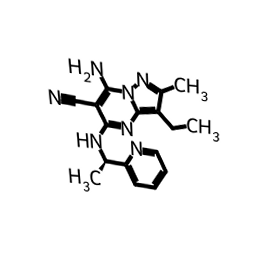 CCc1c(C)nn2c(N)c(C#N)c(N[C@H](C)c3ccccn3)nc12